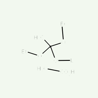 CC(=O)O.CCOC(C)(OCC)OCC